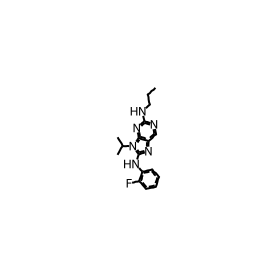 CCCNc1ncc2nc(Nc3ccccc3F)n(C(C)C)c2n1